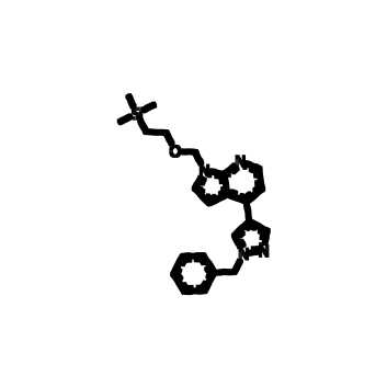 C[Si](C)(C)CCOCn1ccc2c(-c3cnn(Cc4ccccc4)c3)ccnc21